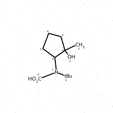 CC1(O)CCCC1N(C(=O)O)C(C)(C)C